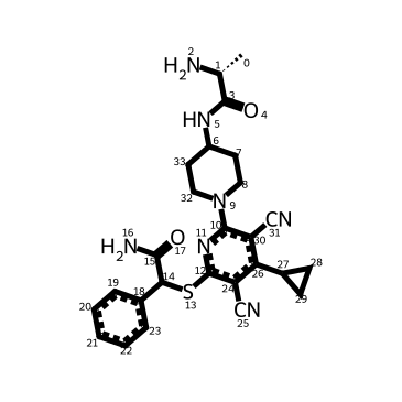 C[C@@H](N)C(=O)NC1CCN(c2nc(SC(C(N)=O)c3ccccc3)c(C#N)c(C3CC3)c2C#N)CC1